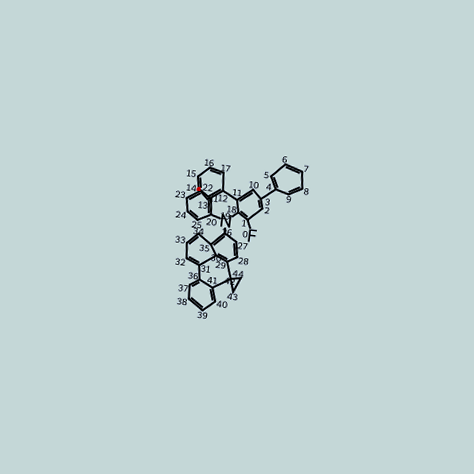 Fc1cc(-c2ccccc2)cc(-c2ccccc2)c1N(c1ccccc1)c1ccc2c3c(cccc13)-c1ccccc1C21CC1